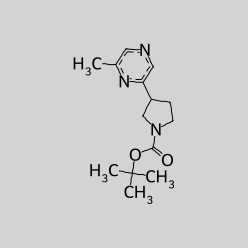 Cc1cncc(C2CCN(C(=O)OC(C)(C)C)C2)n1